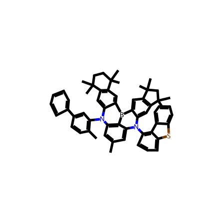 Cc1cc2c3c(c1)N(c1cccc4sc5ccccc5c14)c1cc4c(cc1B3c1cc3c(cc1N2c1cc(-c2ccccc2)ccc1C)C(C)(C)CCC3(C)C)C(C)(C)CC4(C)C